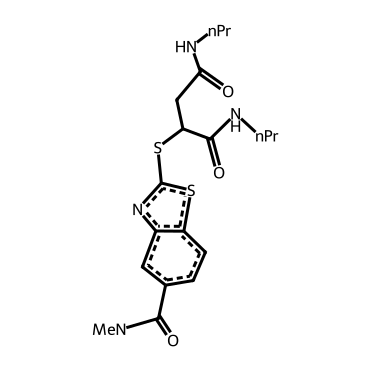 CCCNC(=O)CC(Sc1nc2cc(C(=O)NC)ccc2s1)C(=O)NCCC